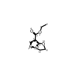 CCOC(=O)c1cnn2c1OCC2